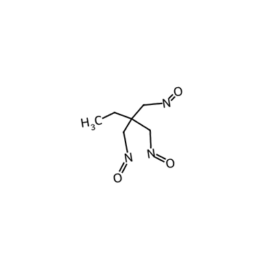 CCC(CN=O)(CN=O)CN=O